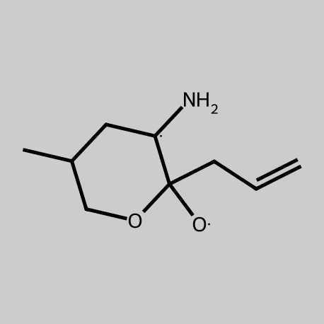 C=CCC1([O])OCC(C)C[C]1N